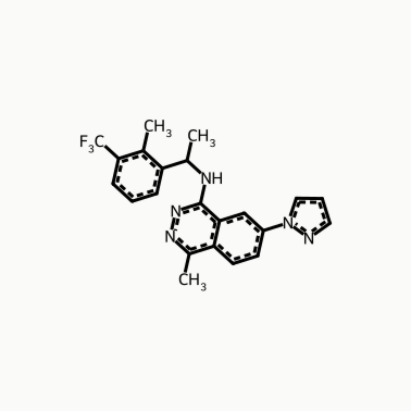 Cc1c(C(C)Nc2nnc(C)c3ccc(-n4cccn4)cc23)cccc1C(F)(F)F